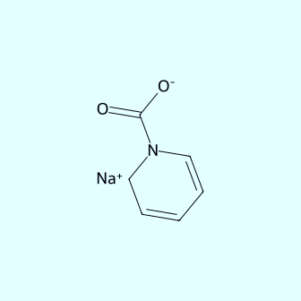 O=C([O-])N1C=CC=CC1.[Na+]